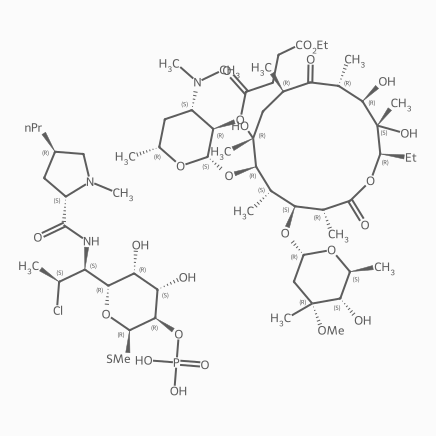 CCC[C@@H]1C[C@@H](C(=O)N[C@@H]([C@H]2O[C@H](SC)[C@H](OP(=O)(O)O)[C@@H](O)[C@H]2O)[C@H](C)Cl)N(C)C1.CCOC(=O)CCC(=O)O[C@H]1[C@H](O[C@@H]2[C@@H](C)[C@H](O[C@H]3C[C@@](C)(OC)[C@@H](O)[C@H](C)O3)[C@@H](C)C(=O)O[C@H](CC)[C@@](C)(O)[C@H](O)[C@@H](C)C(=O)[C@H](C)C[C@@]2(C)O)O[C@H](C)C[C@@H]1N(C)C